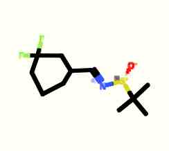 CC(C)(C)[S@@+]([O-])/N=C/C1CCCC(F)(F)C1